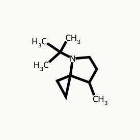 CC1CCN(C(C)(C)C)C12CC2